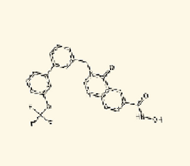 O=C(NO)c1ccc2ncn(Cc3cccc(-c4cccc(OC(F)(F)F)c4)c3)c(=O)c2c1